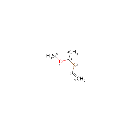 C=CSC(C)O[SiH3]